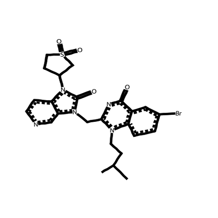 CC(C)CCn1c(Cn2c(=O)n(C3CCS(=O)(=O)C3)c3ccncc32)nc(=O)c2cc(Br)ccc21